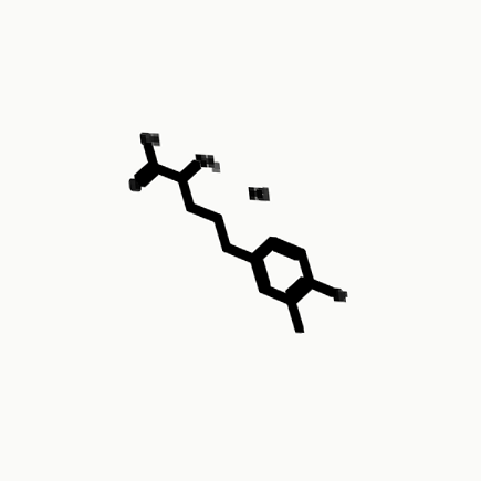 Cc1cc(CCCC(N)C(=O)O)ccc1Br.Cl